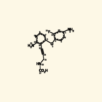 Nc1ccc(Oc2ccnc(N)c2C#CCNC(=O)O)c(F)c1